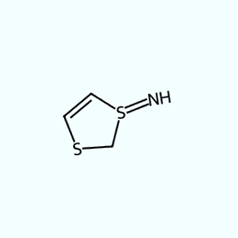 N=S1C=CSC1